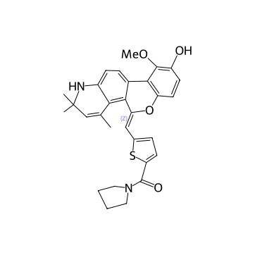 COc1c(O)ccc2c1-c1ccc3c(c1/C(=C/c1ccc(C(=O)N4CCCC4)s1)O2)C(C)=CC(C)(C)N3